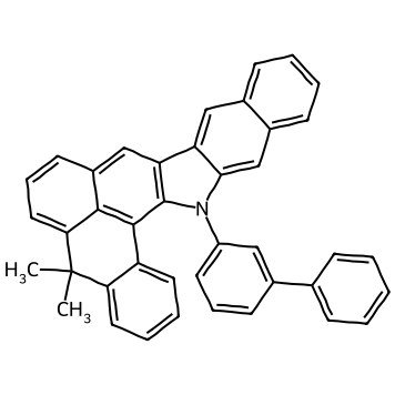 CC1(C)c2ccccc2-c2c3c1cccc3cc1c3cc4ccccc4cc3n(-c3cccc(-c4ccccc4)c3)c21